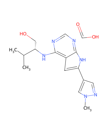 CC(C)[C@H](CO)Nc1ncnc2[nH]c(-c3cnn(C)c3)cc12.O=CO